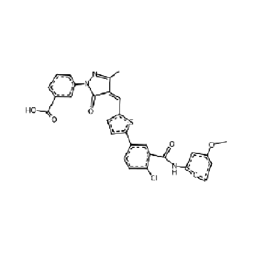 COc1cccc(NC(=O)c2cc(-c3ccc(/C=C4\C(=O)N(c5cccc(C(=O)O)c5)N=C4C)s3)ccc2Cl)c1